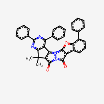 CC1(C)c2nc(-c3ccccc3)nc(-c3ccccc3)c2-c2c1c(=O)n1c(=O)c3c4cccc(-c5ccccc5)c4oc3n21